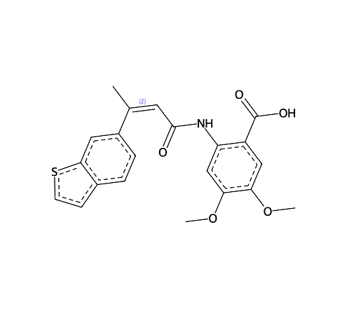 COc1cc(NC(=O)/C=C(/C)c2ccc3ccsc3c2)c(C(=O)O)cc1OC